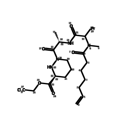 C=CCCCCC(=O)N(C)C(C(=O)N[C@@H](C)C(=O)N1CCC[C@@H](C(=O)OCC(Cl)(Cl)Cl)N1)C(C)C